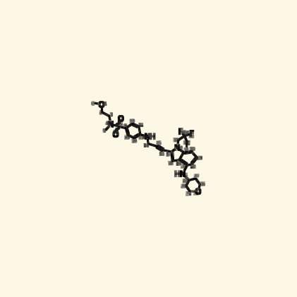 COCCN(C)S(=O)(=O)c1ccc(NCC#Cc2cc3c(NC4CCOCC4)cccc3n2CC(F)(F)F)cc1